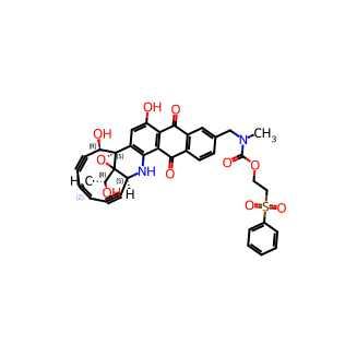 C[C@@H](O)C12O[C@]13c1cc(O)c4c(c1N[C@H]2C#C/C=C\C#C[C@H]3O)C(=O)c1ccc(CN(C)C(=O)OCCS(=O)(=O)c2ccccc2)cc1C4=O